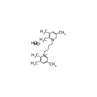 Cc1cc(C)c(C)[n+](CCCC[n+]2cc(C)cc(C)c2C)c1.[OH-].[OH-]